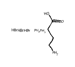 Br.Br.Br.O=C(O)CCCP.P.P